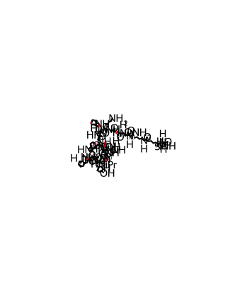 CC(C)[C@H](NC(=O)[C@H](Cc1ccc(O)cc1)NC(=O)[C@H](Cc1c[nH]c2ccccc12)NC(=O)[C@@H](N)Cc1ccccc1)C(=O)N[C@@H](Cc1c[nH]cn1)C(=O)N[C@H](C(=O)N[C@H](C(=O)NCC(=O)N[C@@H](Cc1c[nH]c2ccccc12)C(=O)N[C@@H](CCCCN)C(=O)NCC(=O)NCC(=O)NCC(=O)N[C@@H](CCCCNC(=O)CCCC[C@@H]1SC[C@@H]2NC(=O)N[C@@H]21)C(N)=O)[C@@H](C)O)[C@@H](C)O